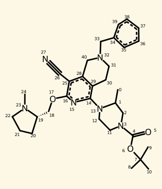 CC1CN(C(=O)OC(C)(C)C)CCN1c1nc(OC[C@@H]2CCCN2C)c(C#N)c2c1CCN(Cc1ccccc1)C2